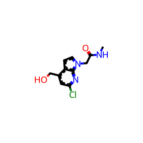 CNC(=O)Cn1ccc2c(CO)cc(Cl)nc21